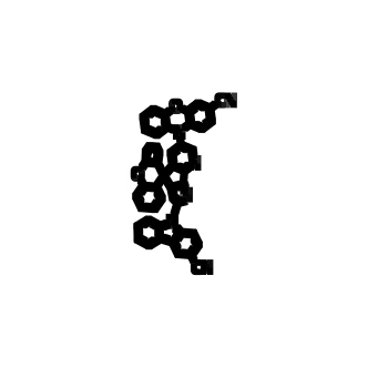 N#Cc1ccc2c(c1)Oc1ccccc1N2c1cnc2c(c1)C1(c3ccccc3Oc3ccccc31)c1cc(-n3c4ccccc4c4cc(C#N)ccc43)cnc1-2